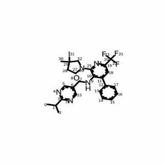 CC(C)c1ncc(C(=O)Nc2c(-c3ccccc3)cc(C(F)(F)F)nc2N2CCC(C)(I)C2)cn1